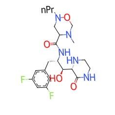 CCCN1CC(C(=O)N[C@@H](Cc2cc(F)cc(F)c2)[C@H](O)[C@@H]2NCCNC2=O)N(C)CO1